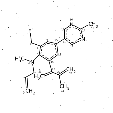 C=CCN(C)c1c(CF)cc(-c2cnc(C)nc2)cc1C(=C)C(=C)C